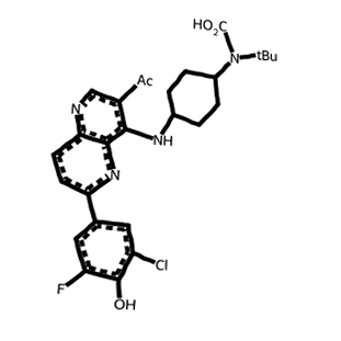 CC(=O)c1cnc2ccc(-c3cc(F)c(O)c(Cl)c3)nc2c1NC1CCC(N(C(=O)O)C(C)(C)C)CC1